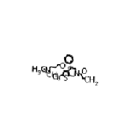 C=CC(=O)N1Cc2sc(Cl)cc2[C@H](c2ccccc2OCCCN(C)C)C1